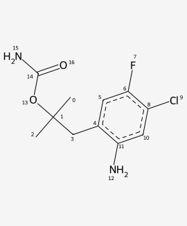 CC(C)(Cc1cc(F)c(Cl)cc1N)OC(N)=O